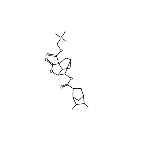 CC1C2CC(C(=O)OC3C4CC5C3OC(=O)C5(C(=O)OC[Si](C)(C)C)C4)C(C2)C1C